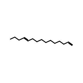 C=CCCCCCCCC/[C]=C/CCC